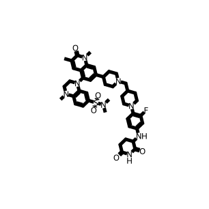 Cc1cc2c(N3CCN(C)c4ccc(S(=O)(=O)N(C)C)cc43)cc(C3CCN(CC4CCN(c5ccc(NC6CCC(=O)NC6=O)cc5F)CC4)CC3)cc2n(C)c1=O